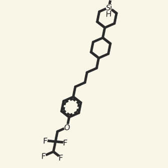 CCC[SiH]1CCC(C2CCC(CCCCc3ccc(OCC(F)(F)C(F)F)cc3)CC2)CC1